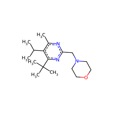 Cc1nc(CN2CCOCC2)nc(C(C)(C)C)c1C(C)C